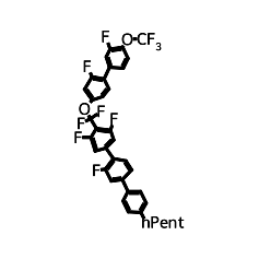 CCCCCc1ccc(-c2ccc(-c3cc(F)c(C(F)(F)Oc4ccc(-c5ccc(OC(F)(F)F)c(F)c5)c(F)c4)c(F)c3)c(F)c2)cc1